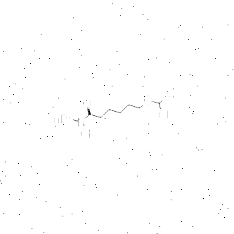 CCCN(C)C(=O)CCCCCOC(C)C(C)=O